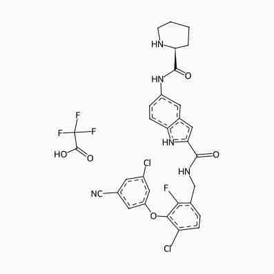 N#Cc1cc(Cl)cc(Oc2c(Cl)ccc(CNC(=O)c3cc4cc(NC(=O)[C@@H]5CCCCN5)ccc4[nH]3)c2F)c1.O=C(O)C(F)(F)F